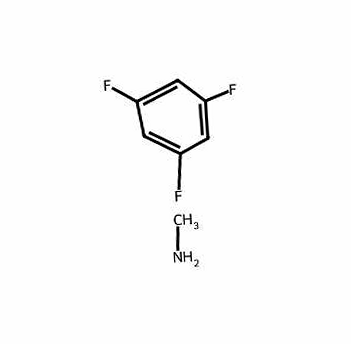 CN.Fc1cc(F)cc(F)c1